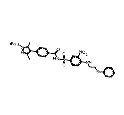 CCCCCn1nc(C)c(-c2ccc(C(=O)NS(=O)(=O)c3ccc(NCCSc4ccccc4)c([N+](=O)[O-])c3)cc2)c1C